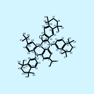 CC(C)c1cc2c3c(c1)N(c1ccc4c(c1)C(C)(C)CCC4(C)C)c1c(oc4cc5c(cc14)C(C)(C)CCC5(C)C)B3c1cc(C(C)(C)C)ccc1N2c1ccc2c(c1)C(C)(C)CCC2(C)C